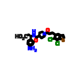 Nc1ccc([C@@H](CC(=O)O)NC(=O)C2CCN(C(=O)/C=C/c3cc4ccsc4c(Cl)c3Cl)CC2)cc1